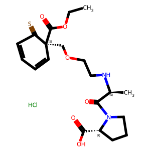 CCOC(=O)[C@@]1(COCCN[C@@H](C)C(=O)N2CCC[C@@H]2C(=O)O)C=CC=CC1=S.Cl